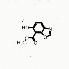 COC(=O)c1c(O)ccc2ncoc12